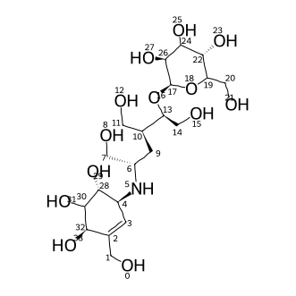 OCC1=C[C@H](N[C@H](CO)C[C@@H](CO)[C@H](CO)O[C@@H]2OC(CO)[C@@H](O)C(O)[C@@H]2O)[C@@H](O)C(O)[C@@H]1O